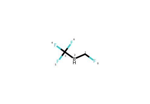 FCBC(F)(F)F